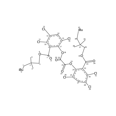 CCC(C)CC(C)(C)COC(=O)c1c(Cl)c(Cl)cc(Cl)c1OC(=O)C(=O)Oc1c(Cl)cc(Cl)c(Cl)c1C(=O)OCC(C)(C)CC(C)CC